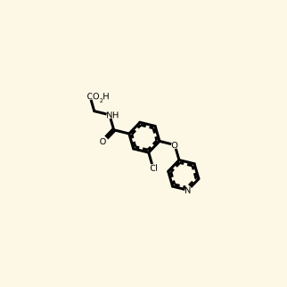 O=C(O)CNC(=O)c1ccc(Oc2ccncc2)c(Cl)c1